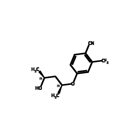 C[C@H](O)C[C@H](C)Oc1ccc(C#N)c(C(F)(F)F)c1